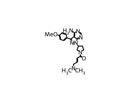 COc1ccc(-c2nn(C3CCN(C(=O)C=CCN(C)C)C3)c3ncnc(N)c23)cc1